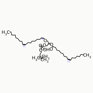 CCCCCC/C=C\CCCCCCCC(=O)O[C@H](CO/C=C\CCCCCC/C=C\CCCCCCCC)COP(=O)(O)OCC[N+](C)(C)C